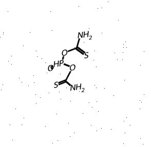 NC(=S)O[PH](=O)OC(N)=S